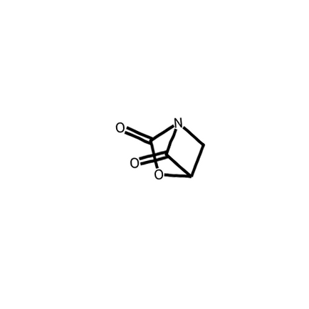 O=C1OC2CN1C2=O